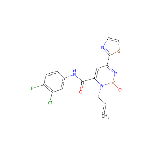 C=CCN1C(C(=O)Nc2ccc(F)c(Cl)c2)=CC(c2nccs2)=N[S+]1[O-]